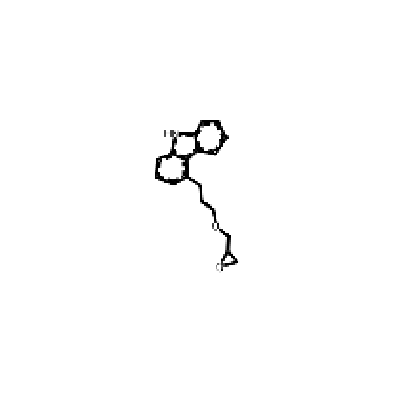 c1ccc2c(c1)[nH]c1cccc(CCCOCC3CO3)c12